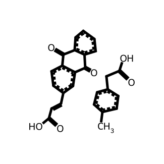 Cc1ccc(CC(=O)O)cc1.O=C(O)C=Cc1ccc2c(c1)C(=O)c1ccccc1C2=O